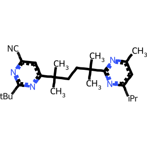 Cc1cc(C(C)C)nc(C(C)(C)CCC(C)(C)c2cc(C#N)nc(C(C)(C)C)n2)n1